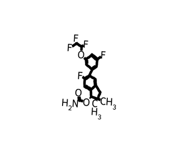 CC1(C)Cc2cc(-c3cc(F)cc(OC(F)C(F)F)c3)c(F)cc2[C@@H]1OC(N)=O